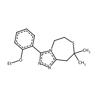 CCOc1ccccc1-c1nnc2n1CCSC(C)(C)C2